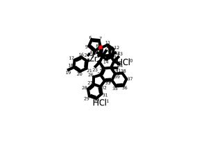 Cl.Cl.[CH2]=[Zr]([C]1=CC=CC1)([c]1ccccc1)([c]1ccc(C)cc1)[C]1(C)C2=C3Cc4ccccc4C3=C3C=CCCC3C2(C)C(C)(C)C(C)(C)C1(C)C